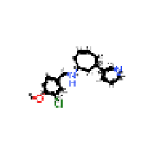 COc1ccc(CNC2CC=CCC(c3cccnc3)C2)cc1Cl